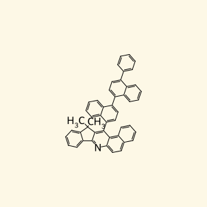 CC1(C)c2ccccc2-c2nc3ccc4ccccc4c3c(-c3ccc(-c4ccc(-c5ccccc5)c5ccccc45)c4ccccc34)c21